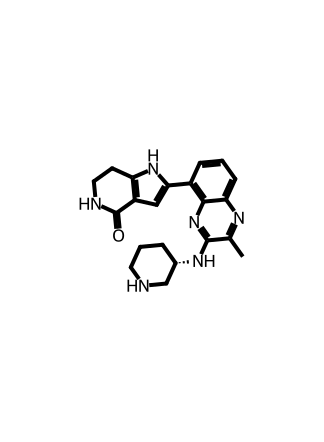 Cc1nc2cccc(-c3cc4c([nH]3)CCNC4=O)c2nc1N[C@H]1CCCNC1